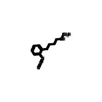 [N-]=[N+]=Nc1ccccc1CCCCNC(=O)O